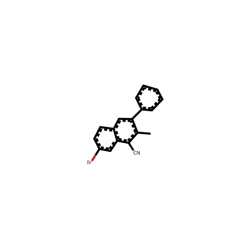 Cc1c(-c2ccccc2)cc2ccc(Br)cc2c1C#N